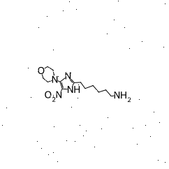 NCCCCCCc1nc(N2CCOCC2)c([N+](=O)[O-])[nH]1